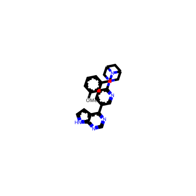 COc1cccc(CN2C3CC2CN(c2ccc(-c4ncnc5[nH]ccc45)cn2)C3)c1